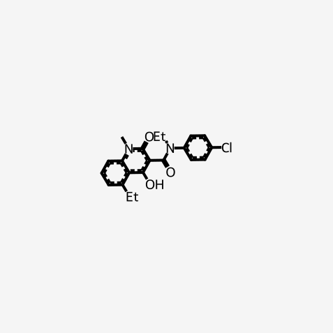 CCc1cccc2c1c(O)c(C(=O)N(CC)c1ccc(Cl)cc1)c(=O)n2C